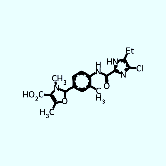 CCc1[nH]c(C(=O)Nc2ccc(C3OC(C)=C(C(=O)O)N3C)cc2C)nc1Cl